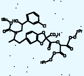 CCCOOC(=O)C(OC(=O)C1(C(=O)O)Oc2ccc(CC(C)N(CC(O)c3cccc(Cl)c3)C(=O)OC(C)(C)C)cc2O1)C(=O)OOCCC